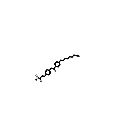 N#CCCCCCCCc1ccc(C(=O)Cc2ccc(/C=C/C(=O)[N+](=O)[O-])cc2)cc1